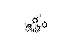 CN1[C@H]2CC[C@@H]1[C@H](c1nc(-c3ccccc3)no1)[C@@H](c1ccc(Cl)cc1)C2